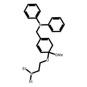 CCN(CC)CCOC1(OC)C=CC(CN(c2ccccc2)c2ccccc2)=CC1